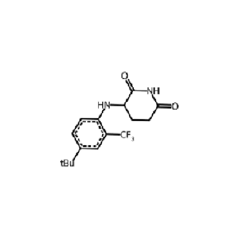 CC(C)(C)c1ccc(NC2CCC(=O)NC2=O)c(C(F)(F)F)c1